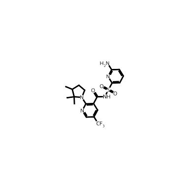 CC1CCN(c2ncc(C(F)(F)F)cc2C(=O)NS(=O)(=O)c2cccc(N)n2)C1(C)C